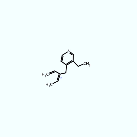 C=C/C(=C\C)Cc1ccncc1CC